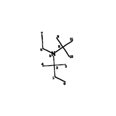 CCC(C)(C)N(CI)C(C)(C)C